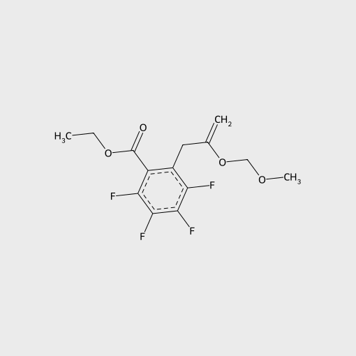 C=C(Cc1c(F)c(F)c(F)c(F)c1C(=O)OCC)OCOC